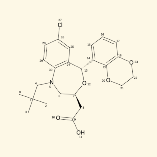 CC(C)(C)CN1C[C@H](CC(=O)O)O[C@@H](c2cccc3c2OCCO3)c2cc(Cl)ccc21